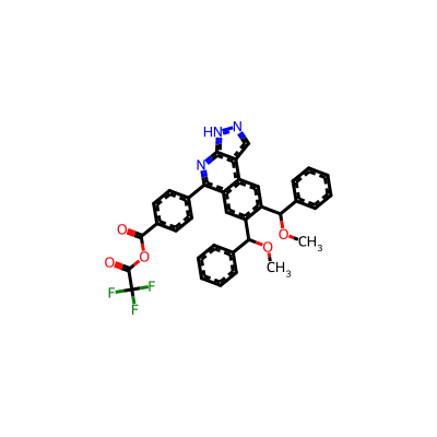 COC(c1ccccc1)c1cc2c(-c3ccc(C(=O)OC(=O)C(F)(F)F)cc3)nc3[nH]ncc3c2cc1C(OC)c1ccccc1